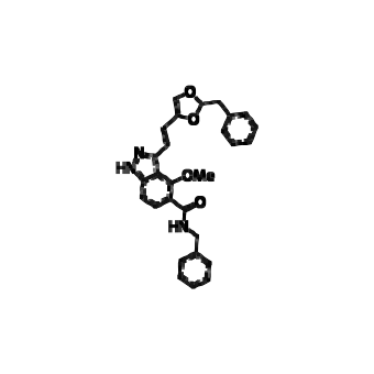 COc1c(C(=O)NCc2ccccc2)ccc2[nH]nc(C=CC3=COC(Cc4ccccc4)O3)c12